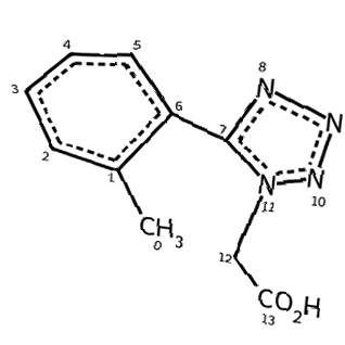 Cc1ccccc1-c1nnnn1CC(=O)O